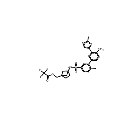 Cc1ncc(-c2nc(-c3cc(S(=O)(=O)NC45CCC(COC(=O)C(F)(F)F)(C4)C5)ccc3C)cnc2N)s1